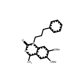 COc1cc2c(C)nc(=O)n(CCCc3ccccc3)c2cc1OC